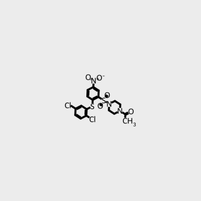 CC(=O)N1CCN(S(=O)(=O)c2cc([N+](=O)[O-])ccc2Sc2cc(Cl)ccc2Cl)CC1